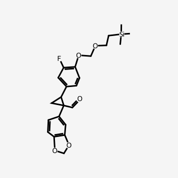 C[Si](C)(C)CCOCOc1ccc(C2CC2(C=O)c2ccc3c(c2)OCO3)cc1F